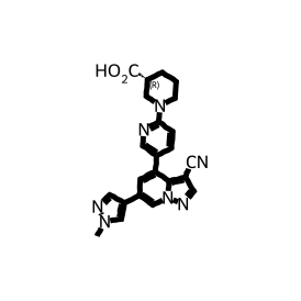 Cn1cc(-c2cc(-c3ccc(N4CCC[C@@H](C(=O)O)C4)nc3)c3c(C#N)cnn3c2)cn1